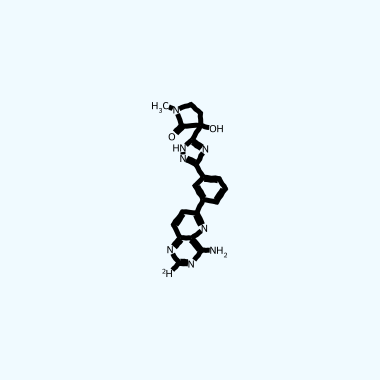 [2H]c1nc(N)c2nc(-c3cccc(-c4n[nH]c(C5(O)CCN(C)C5=O)n4)c3)ccc2n1